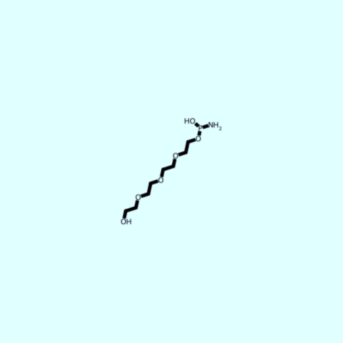 NP(O)OCCOCCOCCOCCO